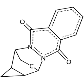 O=c1c2ccccc2c(=O)n2n1C1CCC2C2CC21